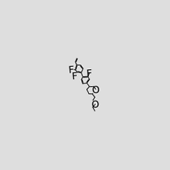 C=Cc1ccc(-c2ccc(C3CCC(CCOCC)OC3)cc2F)c(F)c1F